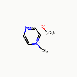 C[n+]1ccncc1.O=S(=O)([O-])O